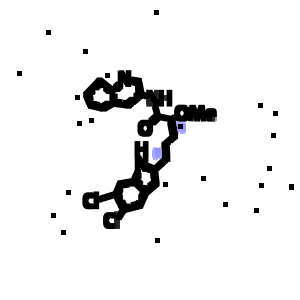 CO/C(=C/C=C/c1cc2cc(Cl)c(Cl)cc2[nH]1)C(=O)Nc1cnc2ccccc2c1